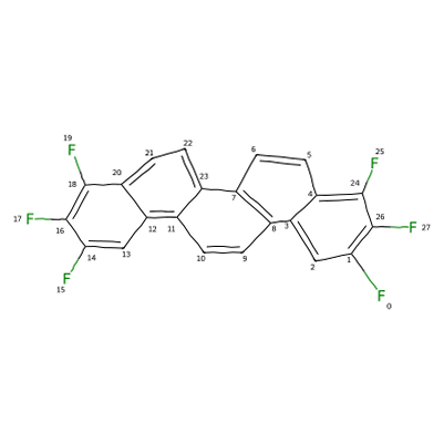 Fc1cc2c(ccc3c2ccc2c4cc(F)c(F)c(F)c4ccc23)c(F)c1F